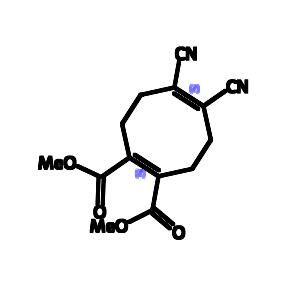 COC(=O)/C1=C(\C(=O)OC)CC/C(C#N)=C(/C#N)CC1